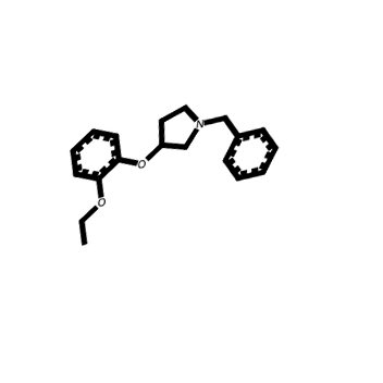 CCOc1ccccc1OC1CCN(Cc2ccccc2)C1